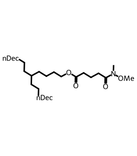 CCCCCCCCCCCCC(CCCCCCCCCCCC)CCCCOC(=O)CCCC(=O)N(C)OC